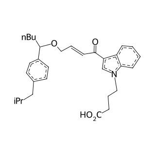 CCCCC(OC/C=C/C(=O)c1cn(CCCC(=O)O)c2ccccc12)c1ccc(CC(C)C)cc1